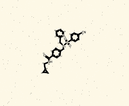 N#Cc1ccc(S(=O)(=O)N(Cc2ccc(C(=O)NCC3CC3)cc2)Cc2ccccn2)cc1